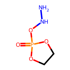 NNOP1(=O)OCCO1